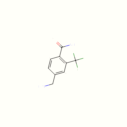 NCc1ccc(C(N)=O)c(C(F)(F)F)c1